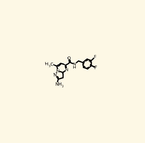 CC1=CC(C(=O)NCc2ccc(F)c(F)c2)=NC2CC(N)=NN12